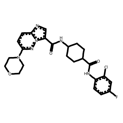 O=C(NC1CCC(C(=O)Nc2ccc(F)cc2Cl)CC1)c1cnc2ccc(N3CCOCC3)nn12